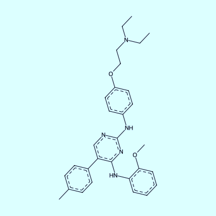 CCN(CC)CCOc1ccc(Nc2ncc(-c3ccc(C)cc3)c(Nc3ccccc3OC)n2)cc1